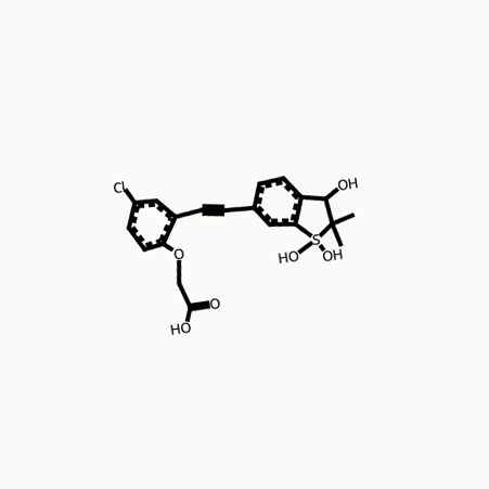 CC1(C)C(O)c2ccc(C#Cc3cc(Cl)ccc3OCC(=O)O)cc2S1(O)O